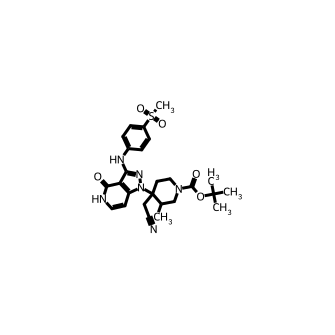 CC1CN(C(=O)OC(C)(C)C)CCC1(CC#N)n1nc(Nc2ccc(S(C)(=O)=O)cc2)c2c(=O)[nH]ccc21